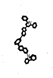 c1ccc(-c2cc(-c3ccc4cc(-c5cccc(-c6ccc7cc(-n8c9ccccc9c9ccccc98)ccc7c6)c5)ccc4c3)cc(-c3ccccc3)n2)cc1